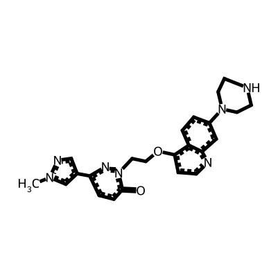 Cn1cc(-c2ccc(=O)n(CCOc3ccnc4cc(N5CCNCC5)ccc34)n2)cn1